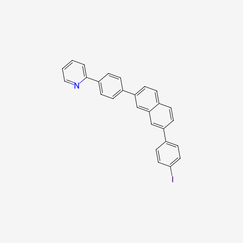 Ic1ccc(-c2ccc3ccc(-c4ccc(-c5ccccn5)cc4)cc3c2)cc1